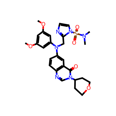 COc1cc(OC)cc(N(Cc2nccn2S(=O)(=O)N(C)C)c2ccc3ncn(C4CCOCC4)c(=O)c3c2)c1